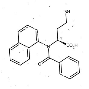 O=C(O)[C@H](CCS)N(C(=O)c1ccccc1)c1cccc2ccccc12